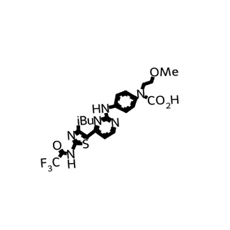 CCC(C)c1nc(NC(=O)C(F)(F)F)sc1-c1ccnc(Nc2ccc(N(CCOC)C(=O)O)cc2)n1